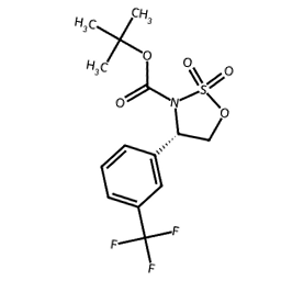 CC(C)(C)OC(=O)N1[C@@H](c2cccc(C(F)(F)F)c2)COS1(=O)=O